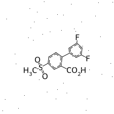 CS(=O)(=O)c1ccc(-c2cc(F)cc(F)c2)c(C(=O)O)c1